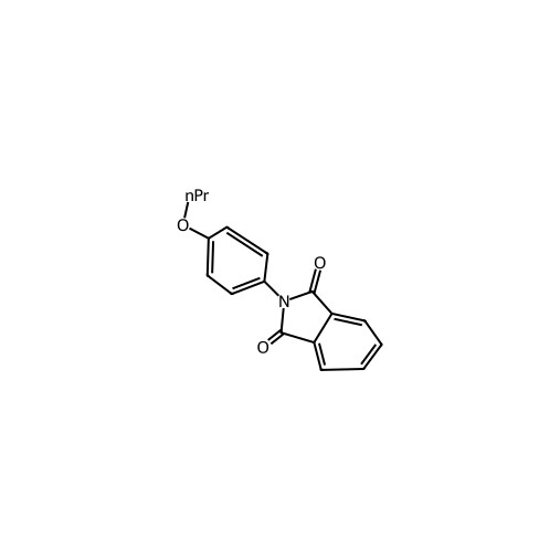 CCCOc1ccc(N2C(=O)c3ccccc3C2=O)cc1